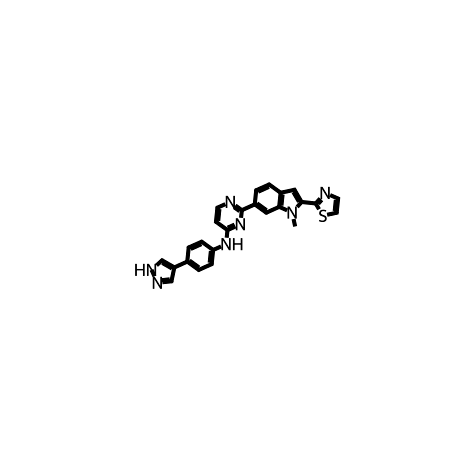 Cn1c(-c2nccs2)cc2ccc(-c3nccc(Nc4ccc(-c5cn[nH]c5)cc4)n3)cc21